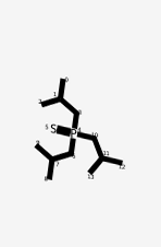 CC(C)CP(=S)(CC(C)C)CC(C)C